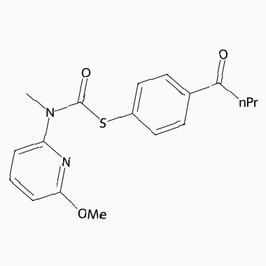 CCCC(=O)c1ccc(SC(=O)N(C)c2cccc(OC)n2)cc1